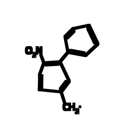 [CH2]c1ccc([N+](=O)[O-])c(-c2ccccc2)c1